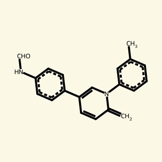 C=C1C=CC(c2ccc(NC=O)cc2)=CN1c1cccc(C)c1